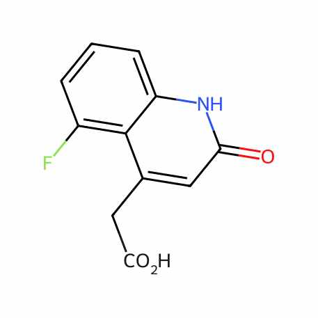 O=C(O)Cc1cc(=O)[nH]c2cccc(F)c12